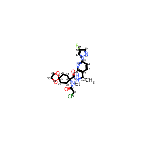 CCN(C(=O)CCl)C1(C(=O)N[C@@H](C)c2ccc(-n3cc(F)cn3)nc2)CCC2(CC1)OCCO2